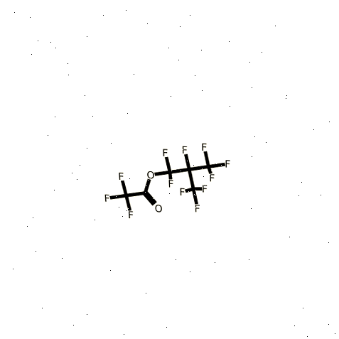 O=C(OC(F)(F)C(F)(C(F)(F)F)C(F)(F)F)C(F)(F)F